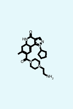 CC1=C(C(=O)N2CCN(CCN)CC2)C=C2c3c(cnn3C3CCCC3)C(=O)NC2C1